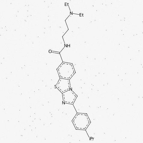 CCN(CC)CCCNC(=O)c1ccc2c(c1)sc1nc(-c3ccc(C(C)C)cc3)cn12